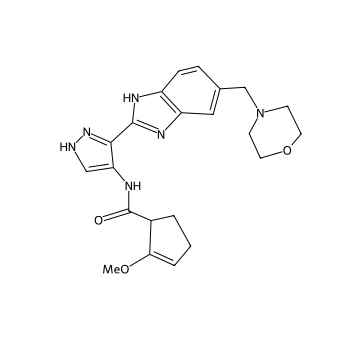 COC1=CCCC1C(=O)Nc1c[nH]nc1-c1nc2cc(CN3CCOCC3)ccc2[nH]1